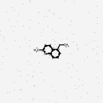 CCc1[c]ccc2nc(C)ccc12